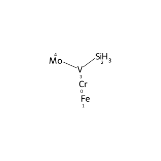 [Cr].[Fe].[SiH3][V][Mo]